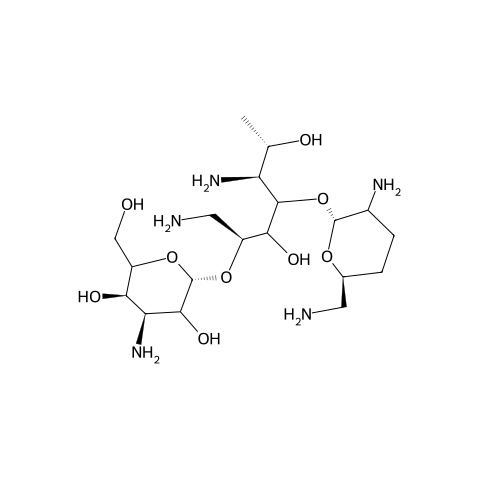 C[C@H](O)[C@H](N)C(O[C@H]1O[C@H](CN)CCC1N)C(O)[C@H](CN)O[C@H]1OC(CO)[C@H](O)[C@H](N)C1O